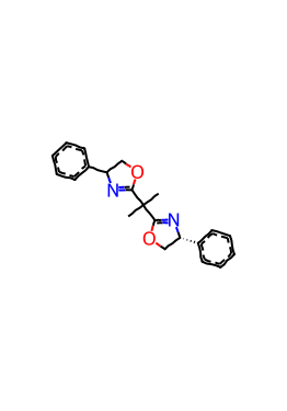 CC(C)(C1=NC(c2ccccc2)CO1)C1=N[C@H](c2ccccc2)CO1